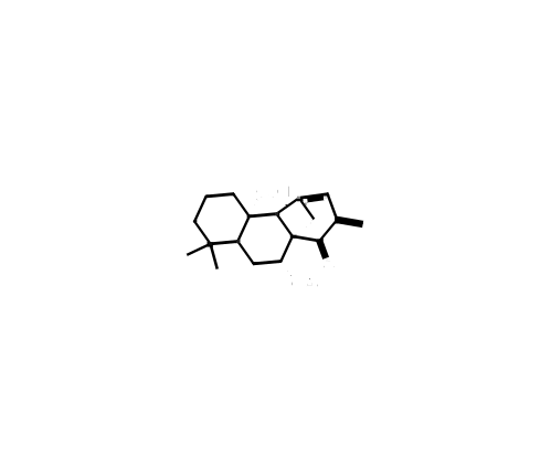 C=C1C=C2C[C@@]3(C1=O)C2[C@]1(C(=O)O)CCCC(C)(C)C1C[C@H]3OC(C)=O